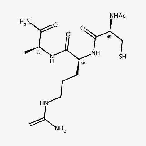 C=C(N)NCCC[C@H](NC(=O)[C@H](CS)NC(C)=O)C(=O)N[C@@H](C)C(N)=O